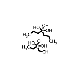 CCCP(O)(O)(O)CCC.CCP(O)(O)(O)CC